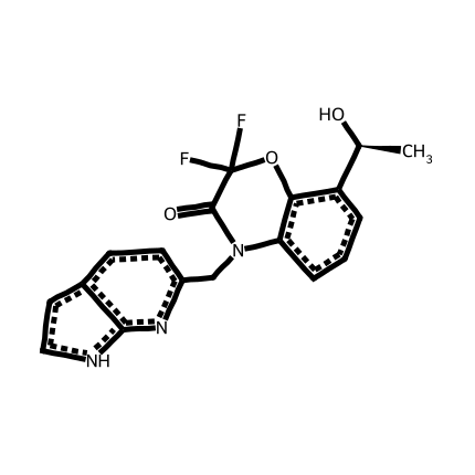 C[C@H](O)c1cccc2c1OC(F)(F)C(=O)N2Cc1ccc2cc[nH]c2n1